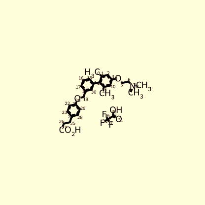 Cc1cc(OCCN(C)C)cc(C)c1-c1cccc(COc2ccc(CCC(=O)O)cc2)c1.O=C(O)C(F)(F)F